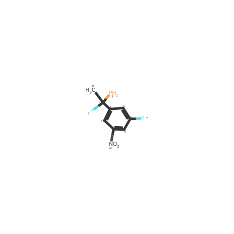 CC(F)(P)c1cc(F)cc([N+](=O)[O-])c1